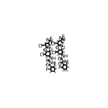 O=C(NC(=O)c1c(F)cccc1F)Nc1cc(Cl)c(Oc2ncc(C(F)(F)F)cc2Cl)c(Cl)c1.O=C(NC(=O)c1c(F)cccc1F)Nc1cc(Cl)c(Oc2ncc(C(F)(F)F)cc2Cl)c(Cl)c1